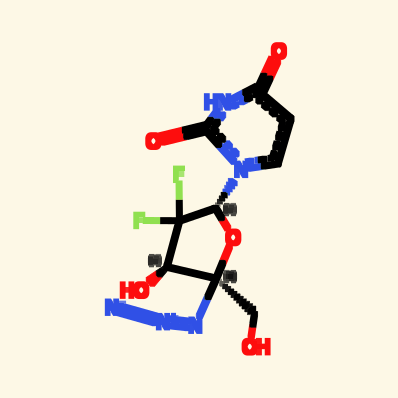 [N-]=[N+]=N[C@]1(CO)O[C@@H](n2ccc(=O)[nH]c2=O)C(F)(F)[C@@H]1O